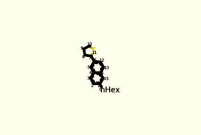 CCCCCCc1ccc2cc(C3CCCS3)ccc2c1